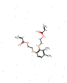 [CH2]c1ccc(SCCOC(=O)C=C)c(SCCOC(=O)C=C)c1[CH2]